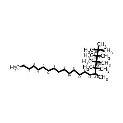 CCCCCCCCCCCCCCCC(C)C(C)(C)C(C)(C)C(C)(C)C(C)(C)C